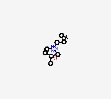 CC1(C)c2ccccc2-c2c(-c3cccc(-c4nc(-c5ccccc5)nc(-c5cccc6oc7c(-c8ccccc8)cc(-c8ccccc8)cc7c56)n4)c3)cccc21